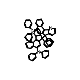 c1ccc(N(c2ccccc2)c2cc3c(c4ccccc24)-c2ncccc2C3(c2ccccc2)C2(c3ccccc3)c3cccnc3-c3c2cc(N(c2ccccc2)c2ccccc2)c2ccccc32)cc1